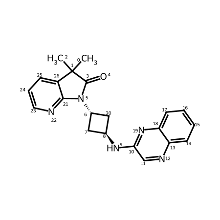 CC1(C)C(=O)N([C@H]2C[C@H](Nc3cnc4ccccc4n3)C2)c2ncccc21